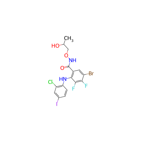 CC(O)CONC(=O)c1cc(Br)c(F)c(F)c1Nc1ccc(I)cc1Cl